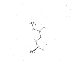 CC(CC[C@@H](C)C(C)C)CC(F)(F)F